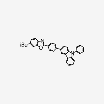 CCC(C)c1ccc2nc(-c3ccc(-c4ccc5c(c4)c4ccccc4n5-c4ccccc4)cc3)oc2c1